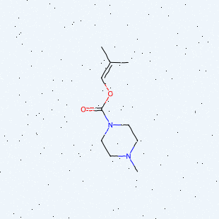 CC(C)=COC(=O)N1CCN(C)CC1